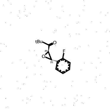 CC(C)(C)C(=O)[C@@H]1O[C@H]1c1ccccc1F